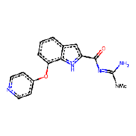 CNC(N)=NC(=O)c1cc2cccc(Oc3ccncc3)c2[nH]1